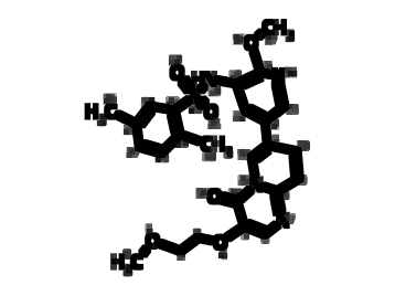 COCCOc1cnc2ccc(-c3cnc(OC)c(NS(=O)(=O)c4cc(C)ccc4C)c3)cn2c1=O